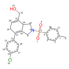 Cc1ccc(S(=O)(=O)N2CC3=C(c4ccc(Cl)cc4)CC=C(CO)C3C2)cc1